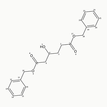 O=C(CCC(O)CC(=O)OCc1ccccc1)OCc1ccccc1